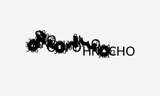 CN(CCCCC(=O)Nc1ccc(C=O)cc1)C(=O)CCN1CCC(OC(=O)Nc2ccsc2-c2ccccc2)CC1